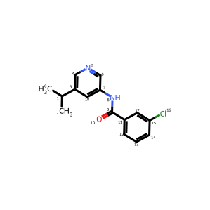 CC(C)c1cncc(NC(=O)c2cccc(Cl)c2)c1